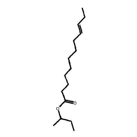 CCC=CCCCCCCCC(=O)OC(C)CC